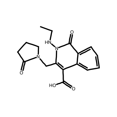 CCNn1c(CN2CCCC2=O)c(C(=O)O)c2ccccc2c1=O